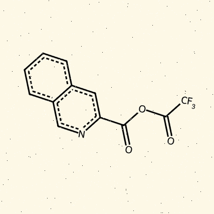 O=C(OC(=O)C(F)(F)F)c1cc2ccccc2cn1